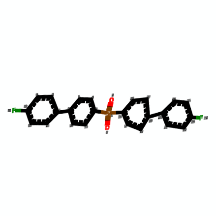 O=S(=O)(c1ccc(-c2ccc(F)cc2)cc1)c1ccc(-c2ccc(F)cc2)cc1